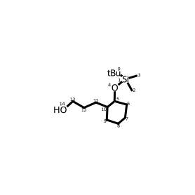 CC(C)(C)[Si](C)(C)OC1CCCCC1CCCO